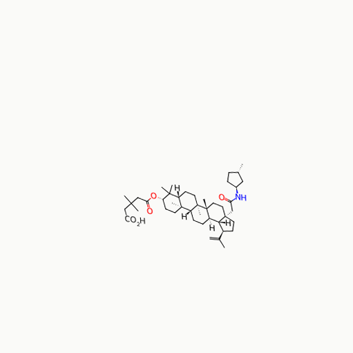 C=C(C)[C@@H]1CC[C@]2(CC(=O)N[C@H]3CC[C@H](C)C3)CC[C@]3(C)[C@H](CC[C@@H]4[C@@]5(C)CC[C@H](OC(=O)CC(C)(C)CC(=O)O)C(C)(C)[C@@H]5CC[C@]43C)[C@@H]12